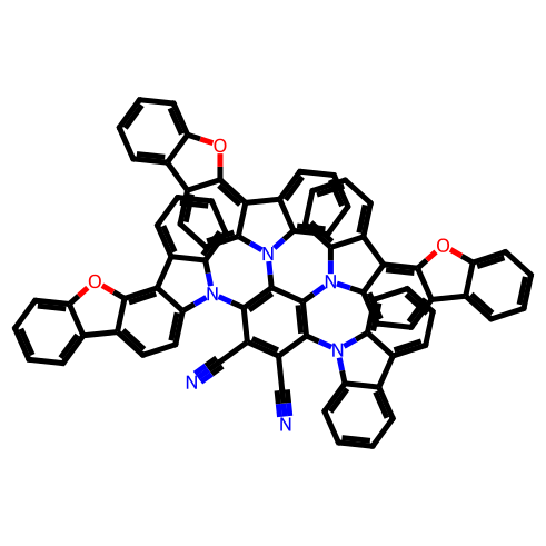 N#Cc1c(C#N)c(-n2c3ccccc3c3c4oc5ccccc5c4ccc32)c(-n2c3ccccc3c3c4oc5ccccc5c4ccc32)c(-n2c3ccccc3c3c4oc5ccccc5c4ccc32)c1-n1c2ccccc2c2ccccc21